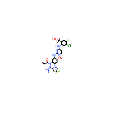 C=CC(=O)Nc1cc(Nc2nccc(Nc3cc(Cl)c(F)cc3C(C)(C)O)n2)c(OC)cc1N1CC(F)(F)CC1CN(C)C